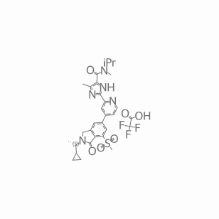 Cc1nc(-c2cc(-c3cc4c(c(S(C)(=O)=O)c3)C(=O)N([C@@H](C)C3CC3)C4)ccn2)[nH]c1C(=O)N(C)C(C)C.O=C(O)C(F)(F)F